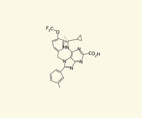 Cc1cccc(-c2nc3nc(C(=O)O)nc(N[C@H](C)C4CC4)c3n2Cc2ccc(OC(F)(F)F)cc2)c1